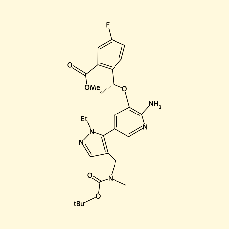 CCn1ncc(CN(C)C(=O)OC(C)(C)C)c1-c1cnc(N)c(O[C@H](C)c2ccc(F)cc2C(=O)OC)c1